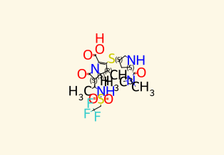 CC(NS(=O)(=O)CC(F)(F)F)[C@H]1C(=O)N2C(C(=O)O)=C(S[C@@H]3CN[C@H](C(=O)N(C)C)C3)[C@H](C)[C@H]12